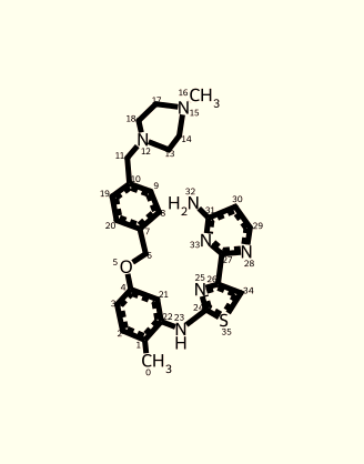 Cc1ccc(OCc2ccc(CN3CCN(C)CC3)cc2)cc1Nc1nc(-c2nccc(N)n2)cs1